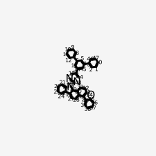 c1ccc(-c2cc(-c3ccccc3)cc(-c3cnc(-n4c5ccccc5c5ccc6c(ccc7oc8ccccc8c76)c54)nc3)c2)cc1